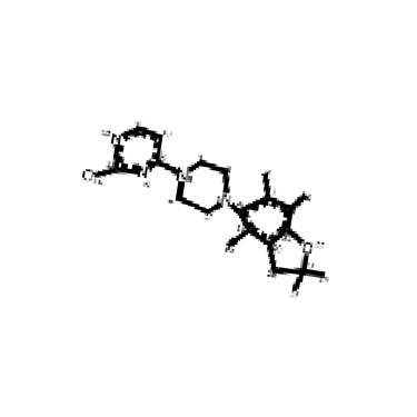 Cc1c(C)c(N2CCN(c3ccnc(Cl)n3)CC2)c(C)c2c1OC(C)(C)C2